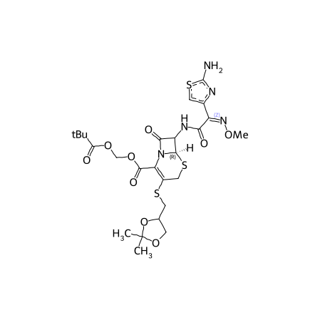 CO/N=C(\C(=O)NC1C(=O)N2C(C(=O)OCOC(=O)C(C)(C)C)=C(SCC3COC(C)(C)O3)CS[C@H]12)c1csc(N)n1